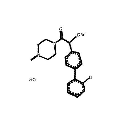 CC(=O)OC(C(=O)N1CCN(C)CC1)c1ccc(-c2ccccc2Cl)cc1.Cl